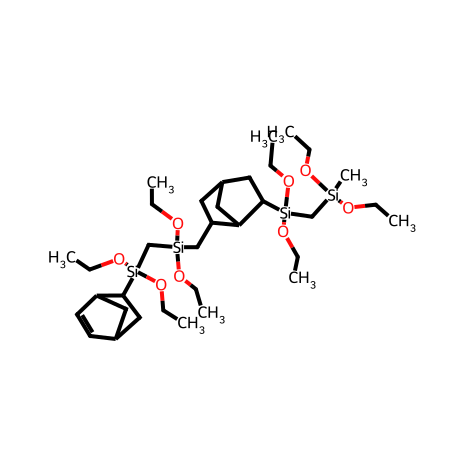 CCO[Si](C)(C[Si](OCC)(OCC)C1CC2CC(C[Si](C[Si](OCC)(OCC)C3CC4C=CC3C4)(OCC)OCC)C1C2)OCC